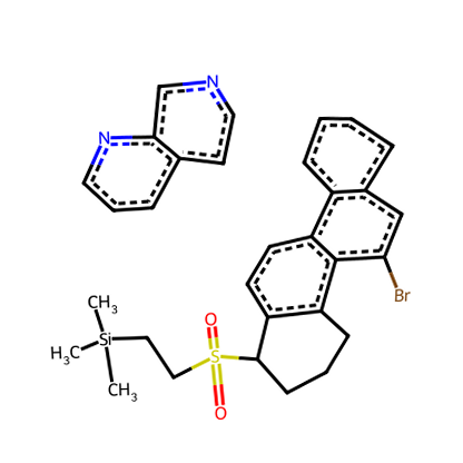 C[Si](C)(C)CCS(=O)(=O)C1CCCc2c1ccc1c2c(Br)cc2ccccc21.c1cnc2cnccc2c1